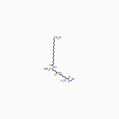 CC(=O)CN(C)C(=O)[C@@H](N)CCCCNC(=O)CC[C@H](NC(=O)CCCCCCCCCCCCCCC(=O)O)C(=O)O